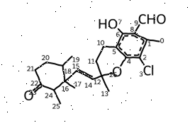 Cc1c(Cl)c2c(c(O)c1C=O)CCC(C)(C=CC1(C)C(C)CCC(=O)C1C)O2